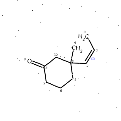 C/C=C\C1(C)CCCC(=O)C1